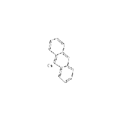 [Cs].c1ccc2cc3ccccc3cc2c1